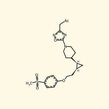 CC(=O)Cc1noc(N2CCC([C@H]3C[C@H]3CCOc3ccc(S(C)(=O)=O)cc3)CC2)n1